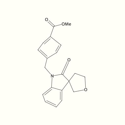 COC(=O)c1ccc(CN2C(=O)C3(CCOC3)c3ccccc32)cc1